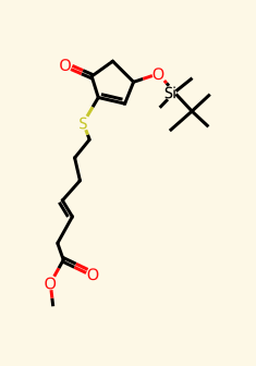 COC(=O)CC=CCCCSC1=CC(O[Si](C)(C)C(C)(C)C)CC1=O